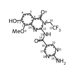 COc1c(O)ccc2c(=O)n(CC(F)(F)F)c(NC(=O)c3cnc(N)nc3)nc12